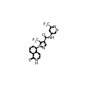 O=C(Nc1cnnc(C(F)(F)F)c1)c1cnn(-c2cccc3c(=S)[nH]ccc23)c1C(F)(F)F